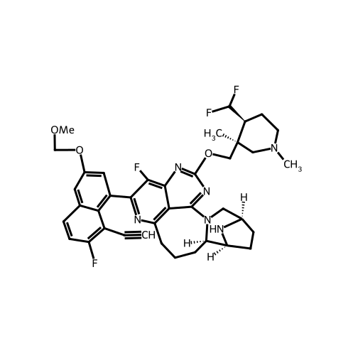 C#Cc1c(F)ccc2cc(OCOC)cc(-c3nc4c5c(nc(OC[C@]6(C)CN(C)CC[C@@H]6C(F)F)nc5c3F)N3C[C@H]5CC[C@H](N5)[C@H]3CCC4)c12